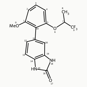 COc1cccc(OC(C)C(F)(F)F)c1-c1ccc2[nH]c(=O)[nH]c2c1